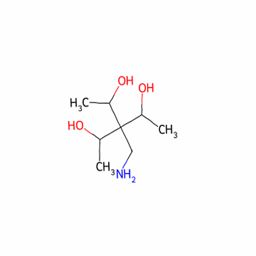 CC(O)C(CN)(C(C)O)C(C)O